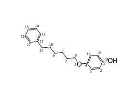 Oc1ccc(OCCCCCCc2ccccc2)cc1